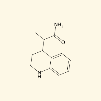 CC(C(N)=O)C1CCNc2ccccc21